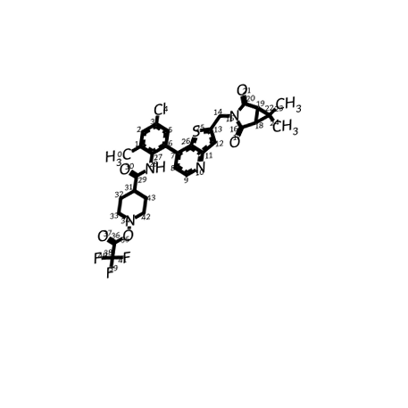 Cc1cc(Cl)cc(-c2ccnc3cc(CN4C(=O)C5C(C4=O)C5(C)C)sc23)c1NC(=O)C1CCN(OC(=O)C(F)(F)F)CC1